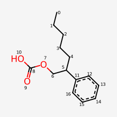 CCCCCC(COC(=O)O)c1ccccc1